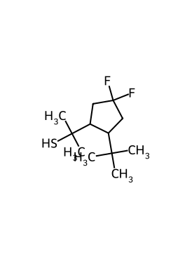 CC(C)(C)C1CC(F)(F)CC1C(C)(C)S